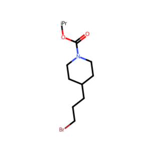 CC(C)OC(=O)N1CCC(CCCBr)CC1